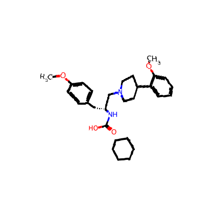 C1CCCCC1.COc1ccc(C[C@H](CN2CCC(c3ccccc3OC)CC2)NC(=O)O)cc1